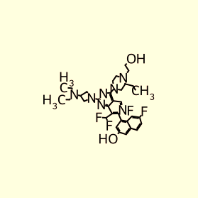 CCC1CN(c2nc(N3CC(N(CC)CC)C3)nc3c(C(F)F)c(-c4cc(O)cc5ccc(F)c(F)c45)ncc23)CCN1CCO